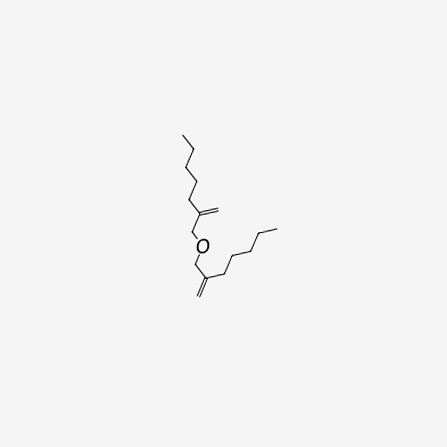 C=C(CCCCC)COCC(=C)CCCCC